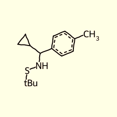 Cc1ccc(C(NSC(C)(C)C)C2CC2)cc1